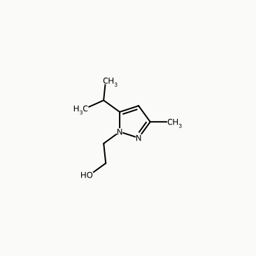 Cc1cc(C(C)C)n(CCO)n1